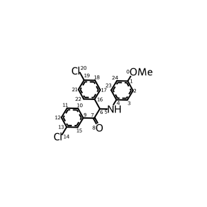 COc1ccc(NC(C(=O)c2cccc(Cl)c2)c2ccc(Cl)cc2)cc1